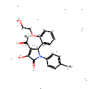 CSc1ccc(N2C(=O)C(O)=C(C(=O)C(C)(C)C)C2c2ccccc2OCCO)cc1